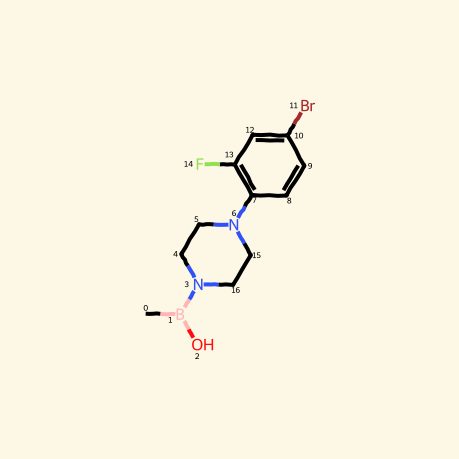 CB(O)N1CCN(c2ccc(Br)cc2F)CC1